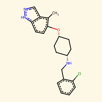 Cc1c(O[C@H]2CC[C@@H](NCc3ccccc3Cl)CC2)ccc2[nH]ncc12